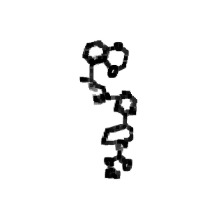 C[C@H](CNc1cc(C2=CCN(C(=O)OC(C)(C)C)CC2)ncn1)c1cccc2c1OCCO2